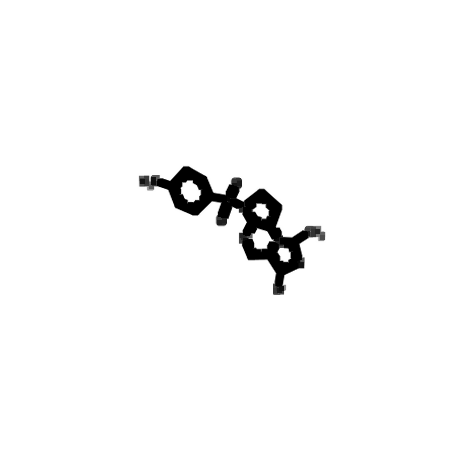 Cc1ccc(S(=O)(=O)n2ccc3c2ncc2c(Br)nc(C)n23)cc1